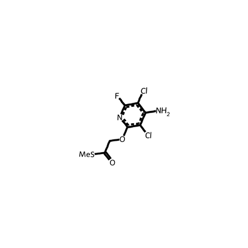 CSC(=O)COc1nc(F)c(Cl)c(N)c1Cl